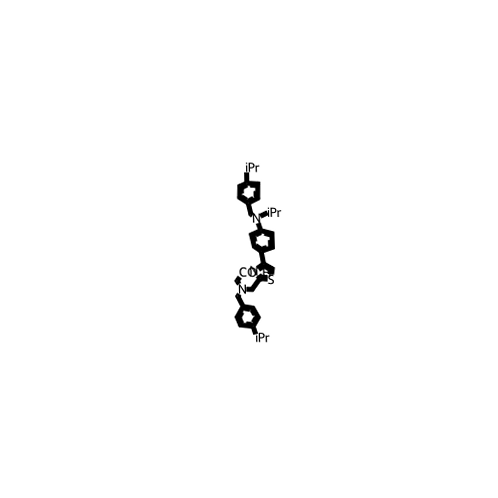 CC(C)c1ccc(CN(CC(=O)O)Cc2nc(-c3ccc(N(Cc4ccc(C(C)C)cc4)C(C)C)cc3)cs2)cc1